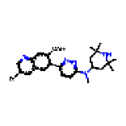 CCc1cnc2cc(OC)c(-c3ccc(N(C)C4CC(C)(C)NC(C)(C)C4)nn3)cc2c1